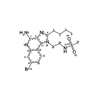 CCCCc1nc2c(N)nc3cc(Br)ccc3c2n1CCNS(C)(=O)=O